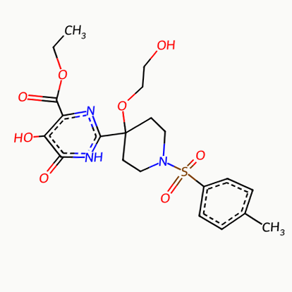 CCOC(=O)c1nc(C2(OCCO)CCN(S(=O)(=O)c3ccc(C)cc3)CC2)[nH]c(=O)c1O